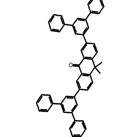 CC1(C)c2ccc(-c3cc(-c4ccccc4)cc(-c4ccccc4)c3)cc2C(=O)c2cc(-c3cc(-c4ccccc4)cc(-c4ccccc4)c3)ccc21